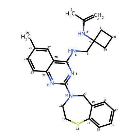 C=C(C)NC1(CNc2nc(N3CCSc4ccccc4C3)nc3ccc(C)cc23)CCC1